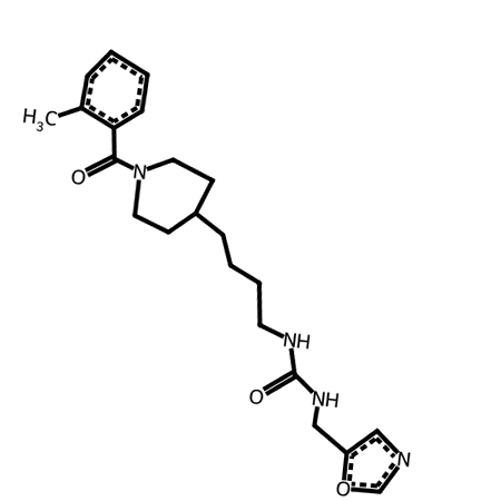 Cc1ccccc1C(=O)N1CCC(CCCCNC(=O)NCc2cnco2)CC1